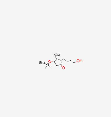 CCCCC1C(O[Si](C)(C)C(C)(C)C)CC(=O)C1CCCCO